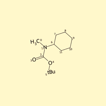 CN(C(=O)OC(C)(C)C)C1CC[CH]CC1